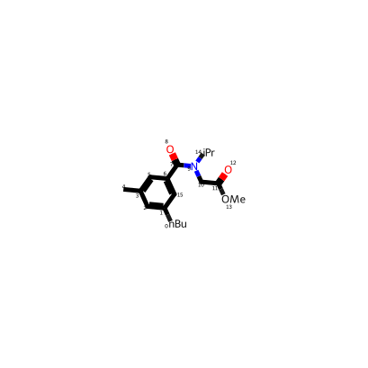 CCCCc1cc(C)cc(C(=O)N(CC(=O)OC)C(C)C)c1